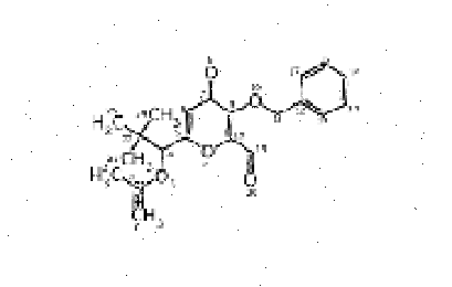 C[SiH](C)OC(c1cc(=O)c(OCc2ccccc2)c(C=O)o1)C(C)(C)C